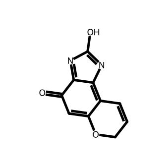 O=C1C=C2OCC=CC2=C2N=C(O)N=C12